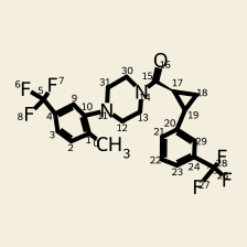 Cc1ccc(C(F)(F)F)cc1N1CCN(C(=O)[C@H]2CC2c2cccc(C(F)(F)F)c2)CC1